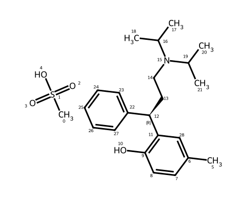 CS(=O)(=O)O.Cc1ccc(O)c([C@H](CCN(C(C)C)C(C)C)c2ccccc2)c1